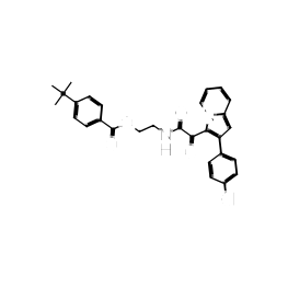 CC(C)(C)c1ccc(C(=O)OCCNC(=O)C(=O)c2c(-c3ccc(Cl)cc3)cc3ccccn23)cc1